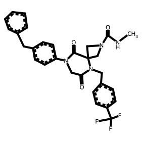 CNC(=O)N1CC2(C1)C(=O)N(c1ccc(Cc3ccccc3)cc1)CC(=O)N2Cc1ccc(C(F)(F)F)cc1